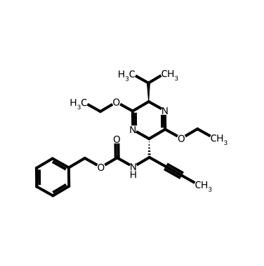 CC#CC(NC(=O)OCc1ccccc1)[C@@H]1N=C(OCC)[C@@H](C(C)C)N=C1OCC